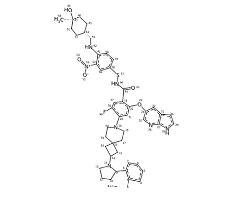 CC(C)c1ccccc1C1CCCN1C1CC2(CCN(c3cc(Oc4cnc5[nH]ccc5c4)c(C(=O)NSc4ccc(NC[C@H]5CC[C@](C)(O)CC5)c([N+](=O)[O-])c4)cc3F)CC2)C1